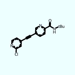 CC(C)(C)NC(=O)c1ccc(C#Cc2ccnc(Cl)c2)cn1